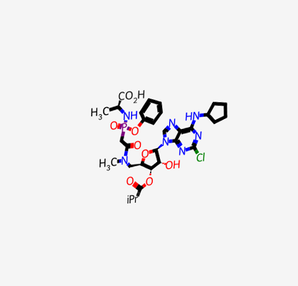 CC(C)C(=O)O[C@H]1[C@@H](O)[C@H](n2cnc3c(NC4CCCC4)nc(Cl)nc32)O[C@@H]1CN(C)C(=O)CP(=O)(N[C@@H](C)C(=O)O)Oc1ccccc1